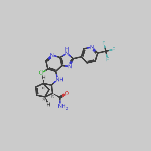 NC(=O)[C@@H]1C(Nc2c(Cl)cnc3[nH]c(-c4ccc(C(F)(F)F)nc4)nc23)[C@H]2C=C[C@@H]1C2